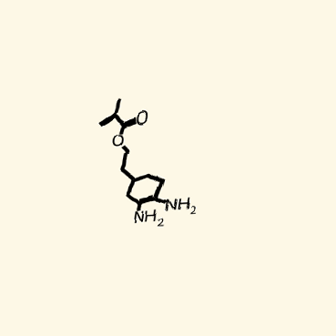 C=C(C)C(=O)OCCC1CCC(N)=C(N)C1